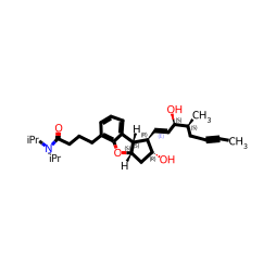 CC#CC[C@H](C)[C@H](O)/C=C/[C@@H]1[C@H]2c3cccc(CCCC(=O)N(C(C)C)C(C)C)c3O[C@H]2C[C@H]1O